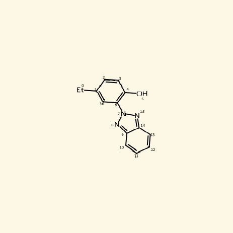 CCc1ccc(O)c(-n2nc3ccccc3n2)c1